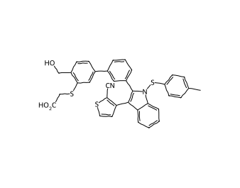 Cc1ccc(Sn2c(-c3cccc(-c4ccc(CO)c(SCC(=O)O)c4)c3)c(-c3ccsc3C#N)c3ccccc32)cc1